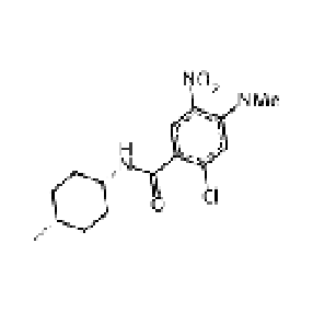 CNc1cc(Cl)c(C(=O)N[C@H]2CC[C@@H](C)CC2)cc1[N+](=O)[O-]